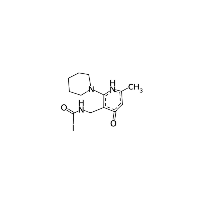 Cc1cc(=O)c(CNC(=O)I)c(N2CCCCC2)[nH]1